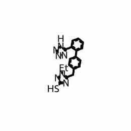 CCn1nc(S)nc1Cc1ccc(-c2ccccc2-c2nnn[nH]2)cc1